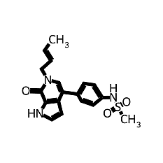 CC=CCn1cc(-c2ccc(NS(C)(=O)=O)cc2)c2cc[nH]c2c1=O